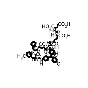 CC1C=CC=C(CC(NC(=S)Nc2ccc(-c3c4ccc(=O)cc-4oc4cc(O)ccc34)c(C(=O)O)c2)C(=O)NC(Cc2ccccc2)C(=O)N[C@H](CCC(=O)NCCNC(=O)CC[C@H](NC(=O)N[C@@H](CCC(=O)O)C(=O)O)C(=O)O)C(=O)O)C1